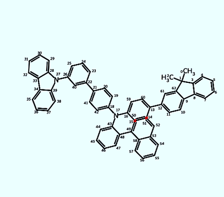 CC1(C)c2ccccc2-c2ccc(-c3ccc(N(c4ccc(-c5cccc(-n6c7ccccc7c7ccccc76)c5)cc4)c4ccccc4-c4cccc5ccccc45)cc3)cc21